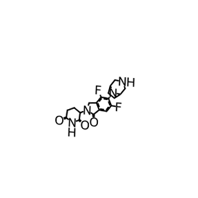 O=C1CCC(N2Cc3c(cc(F)c(N4C5CCC4CNC5)c3F)C2=O)C(=O)N1